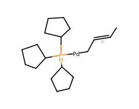 C/C=C/[CH2][Pd][PH](C1CCCC1)(C1CCCC1)C1CCCC1